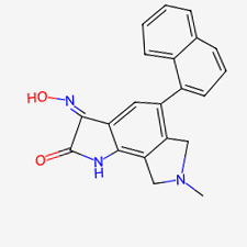 CN1Cc2c(-c3cccc4ccccc34)cc3c(c2C1)NC(=O)C3=NO